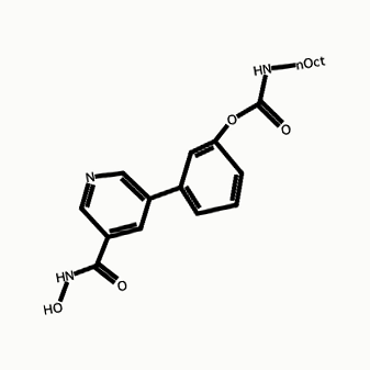 CCCCCCCCNC(=O)Oc1cccc(-c2cncc(C(=O)NO)c2)c1